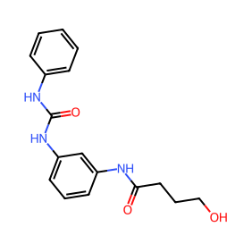 O=C(CCCO)Nc1cccc(NC(=O)Nc2ccccc2)c1